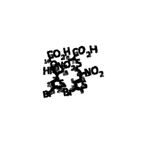 CC(SCC(c1cc(Br)cs1)[N+](=O)[O-])C(=O)O.O=C(O)CONC(C[N+](=O)[O-])c1cc(Br)cs1